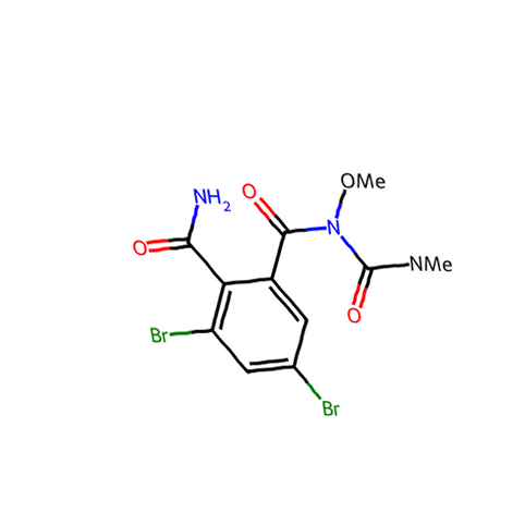 CNC(=O)N(OC)C(=O)c1cc(Br)cc(Br)c1C(N)=O